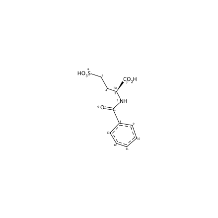 O=C(N[C@@H](CCS(=O)(=O)O)C(=O)O)c1ccccc1